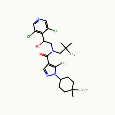 CCOC(=O)C1(C)CCC(n2ncc(C(=O)N(CC(O)c3c(Cl)cncc3Cl)CC(C)(C)C(F)(F)F)c2C(F)(F)F)CC1